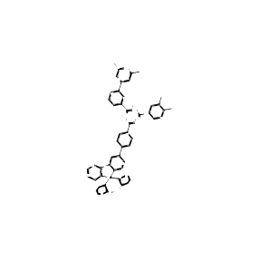 Cc1cc(-c2cccc(-c3nc(-c4ccc(-c5ccc6c(c5)-c5ccccc5C65c6ccccc6Sc6ccccc65)cc4)nc(-c4ccc(C)c(C)c4)n3)c2)cc(C)n1